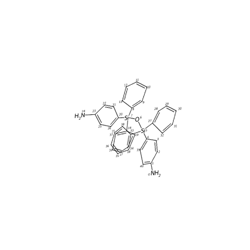 Nc1ccc([Si](O[Si](c2ccccc2)(c2ccccc2)c2ccc(N)cc2)(c2ccccc2)c2ccccc2)cc1